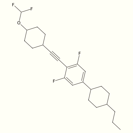 CCCC1CCC(c2cc(F)c(C#CC3CCC(OC(F)F)CC3)c(F)c2)CC1